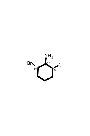 N[C@H]1[C@@H](Cl)C[CH]C[C@@H]1Br